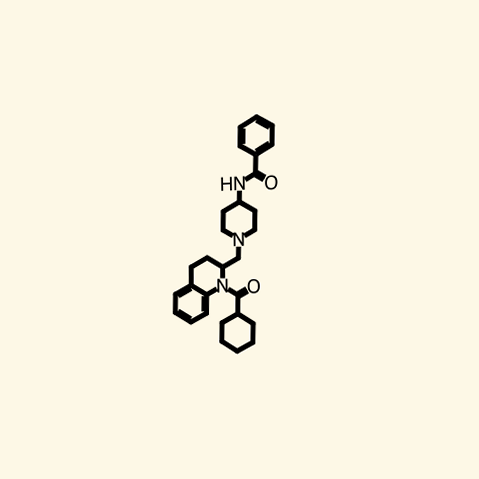 O=C(NC1CCN(CC2CCc3ccccc3N2C(=O)C2CCCCC2)CC1)c1ccccc1